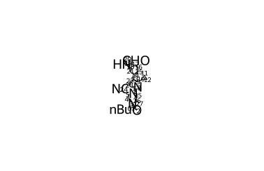 CCCCC(=O)N1CCN(c2nc(C3CC3)c(-c3cccc(NC=O)c3)cc2C#N)CC1C